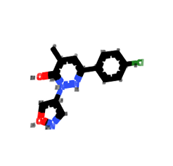 Cc1cc(-c2ccc(Cl)cc2)nn(-c2cnoc2)c1=O